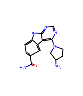 NC(=O)c1ccc2[nH]c3ncnc(N4CCC(N)C4)c3c2c1